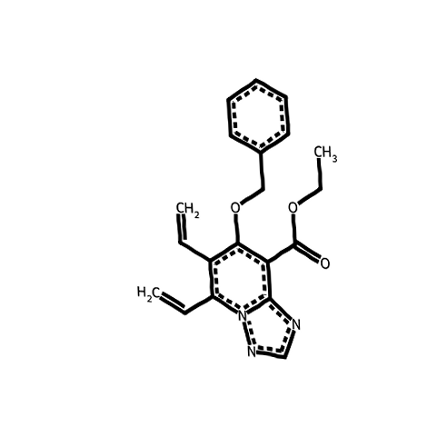 C=Cc1c(OCc2ccccc2)c(C(=O)OCC)c2ncnn2c1C=C